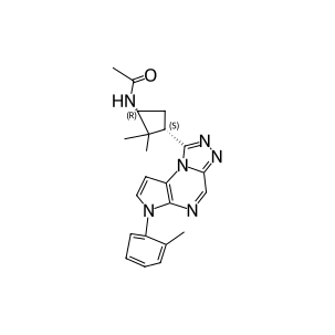 CC(=O)N[C@@H]1C[C@H](c2nnc3cnc4c(ccn4-c4ccccc4C)n23)C1(C)C